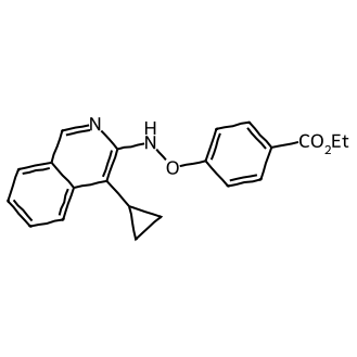 CCOC(=O)c1ccc(ONc2ncc3ccccc3c2C2CC2)cc1